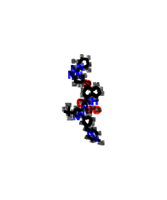 C[C@@H]1CCC[C@H](C)N1c1nnc2ccc(O[C@@H]3CC[C@H](NC(=O)N(OC=O)c4cc(C(C)(C)C)nn4-c4cccc(CN5CCN(C)CC5)c4)c4ccccc43)cn12